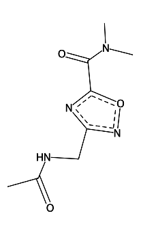 CC(=O)NCc1noc(C(=O)N(C)C)n1